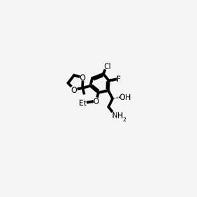 CCOc1c(C2(C)OCCO2)cc(Cl)c(F)c1[C@H](O)CN